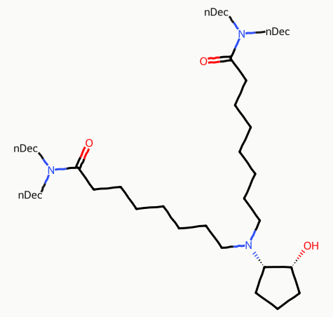 CCCCCCCCCCN(CCCCCCCCCC)C(=O)CCCCCCCN(CCCCCCCC(=O)N(CCCCCCCCCC)CCCCCCCCCC)[C@H]1CCC[C@H]1O